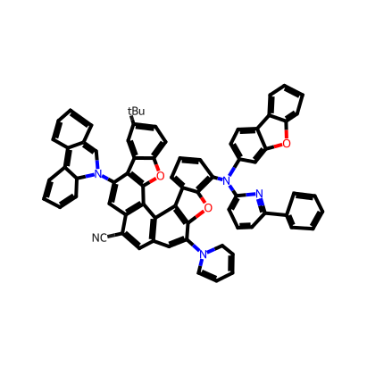 CC(C)(C)c1ccc2oc3c(c(N4C=c5ccccc5=C5C=CC=CC54)cc4c(C#N)cc5cc(N6C=CC=CC6)c6oc7c(N(c8ccc9c(c8)oc8ccccc89)c8cccc(-c9ccccc9)n8)cccc7c6c5c43)c2c1